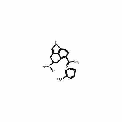 CCCN(CC)C1Cc2c[nH]c3ccc(C(N)=O)c(c23)C1.O=C(O)c1ccccc1